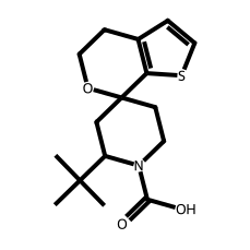 CC(C)(C)C1CC2(CCN1C(=O)O)OCCc1ccsc12